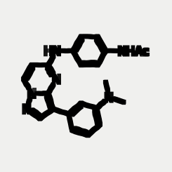 CC(=O)Nc1ccc(Nc2ccn3ncc(-c4cccc(N(C)C)c4)c3n2)cc1